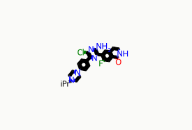 CC(C)N1CCN(c2ccc(-c3nc(-c4cc5c(cc4F)C(=O)NCC5)c(N)nc3Cl)cc2)CC1